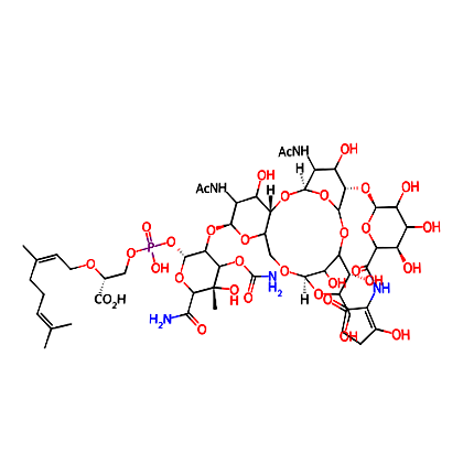 CC(=O)NC1C(O)[C@@H]2O[C@@H]3OC(OC4C(O)[C@H](OCC2O[C@H]1OC1C(OC(N)=O)[C@](C)(O)C(C(N)=O)O[C@@H]1OP(=O)(O)OC[C@@H](OC/C=C(/C)CCC=C(C)C)C(=O)O)OC(CO)[C@H]4O)[C@@H](O[C@@H]1OC(C(=O)NC2=C(O)CCC2=O)[C@H](O)C(O)C1O)C(O)C3NC(C)=O